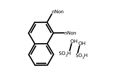 CCCCCCCCCc1ccc2ccccc2c1CCCCCCCCC.O=S(=O)(O)O.O=S(=O)(O)O